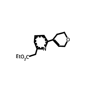 CCOC(=O)Cc1cccc(C2=CCOCC2)n1